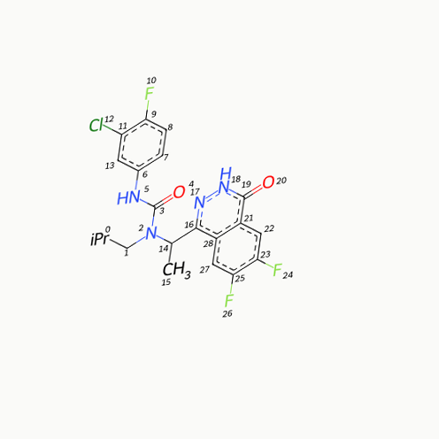 CC(C)CN(C(=O)Nc1ccc(F)c(Cl)c1)C(C)c1n[nH]c(=O)c2cc(F)c(F)cc12